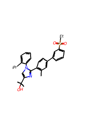 CCS(=O)(=O)c1cccc(-c2ccc(-c3nc(C(C)(C)O)cn3-c3ccccc3C(C)C)c(C)c2)c1